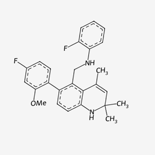 COc1cc(F)ccc1-c1ccc2c(c1CNc1ccccc1F)C(C)=CC(C)(C)N2